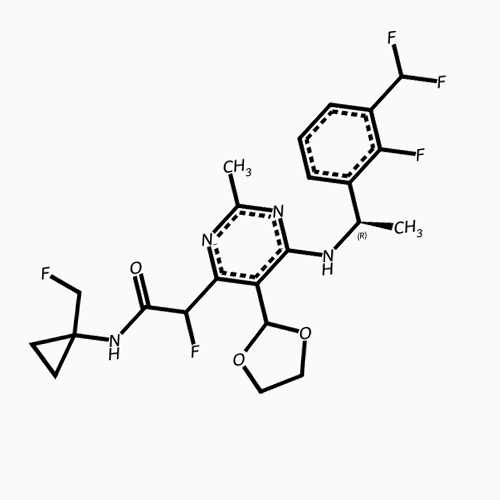 Cc1nc(N[C@H](C)c2cccc(C(F)F)c2F)c(C2OCCO2)c(C(F)C(=O)NC2(CF)CC2)n1